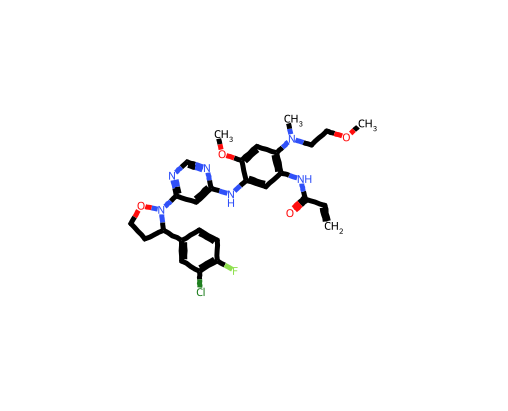 C=CC(=O)Nc1cc(Nc2cc(N3OCCC3c3ccc(F)c(Cl)c3)ncn2)c(OC)cc1N(C)CCOC